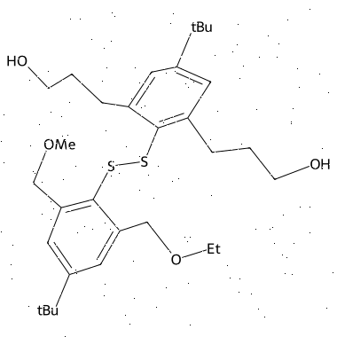 CCOCc1cc(C(C)(C)C)cc(COC)c1SSc1c(CCCO)cc(C(C)(C)C)cc1CCCO